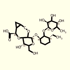 CC[C@@H]1CCC[C@@H](O[C@@H]2OC(CO)[C@H](O)C3O[C@@H](C(=O)O)C4CC4COC32)C1O[C@@H]1OC(C)[C@@H](O)C(O)[C@@H]1O